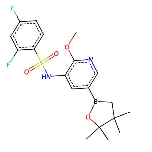 COc1ncc(B2CC(C)(C)C(C)(C)O2)cc1NS(=O)(=O)c1ccc(F)cc1F